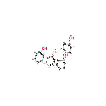 Oc1ccccc1.Oc1ccccc1.Oc1ccccc1.Oc1ccccc1